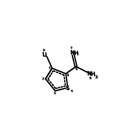 [Li][c]1ccsc1C(=N)N